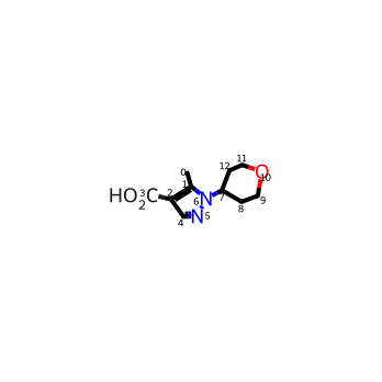 Cc1c(C(=O)O)cnn1C1CCOCC1